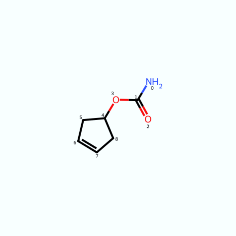 NC(=O)OC1CC=CC1